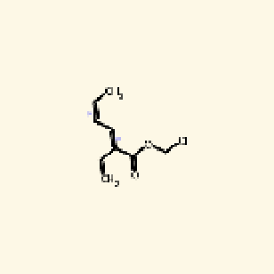 C=C/C(=C\C=C/C)C(=O)OCCl